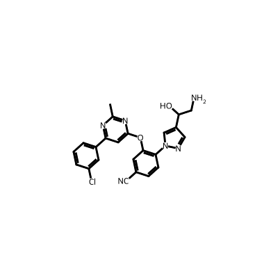 Cc1nc(Oc2cc(C#N)ccc2-n2cc(C(O)CN)cn2)cc(-c2cccc(Cl)c2)n1